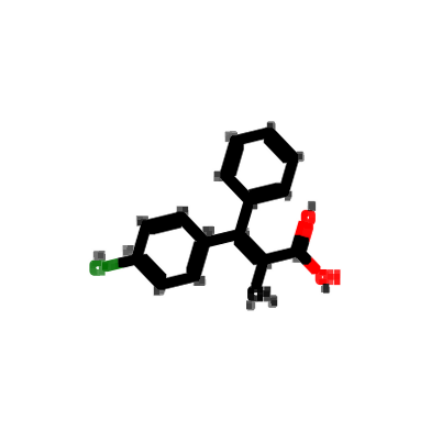 CC(C(=O)O)=C(c1ccccc1)c1ccc(Cl)cc1